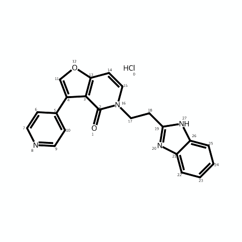 Cl.O=c1c2c(-c3ccncc3)coc2ccn1CCc1nc2ccccc2[nH]1